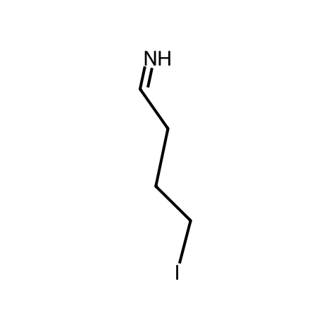 N=CCCCI